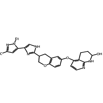 CCn1nc(C)cc1-c1c[nH]c(C2COc3ccc(Oc4ccnc5c4CCC(O)N5)cc3C2)n1